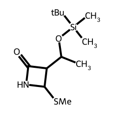 CSC1NC(=O)C1C(C)O[Si](C)(C)C(C)(C)C